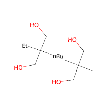 CC(C)(CO)CO.CCCCC(CC)(CO)CO